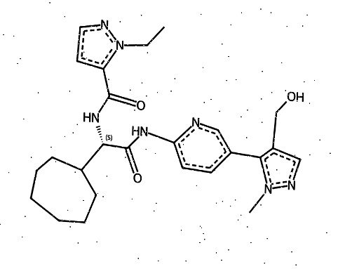 CCn1nccc1C(=O)N[C@H](C(=O)Nc1ccc(-c2c(CO)cnn2C)cn1)C1CCCCCC1